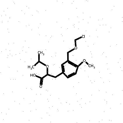 COc1ccc(CC(OC(C)C)C(=O)O)cc1COCCl